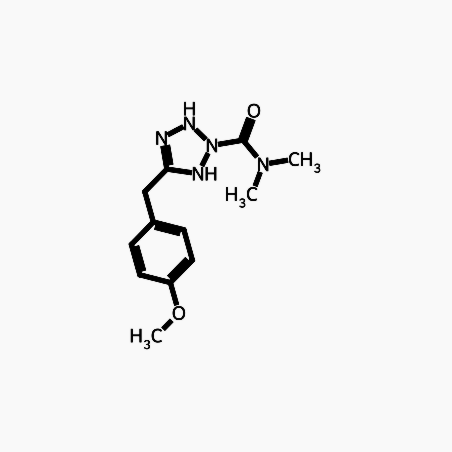 COc1ccc(CC2=NNN(C(=O)N(C)C)N2)cc1